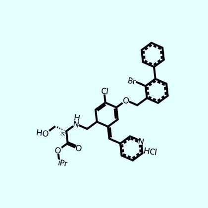 CC(C)OC(=O)[C@H](CO)NCC1C=C(Cl)C(OCc2cccc(-c3ccccc3)c2Br)=CC1=Cc1cccnc1.Cl